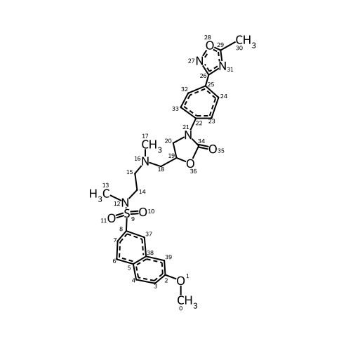 COc1ccc2ccc(S(=O)(=O)N(C)CCN(C)CC3CN(c4ccc(-c5noc(C)n5)cc4)C(=O)O3)cc2c1